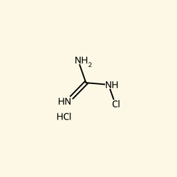 Cl.N=C(N)NCl